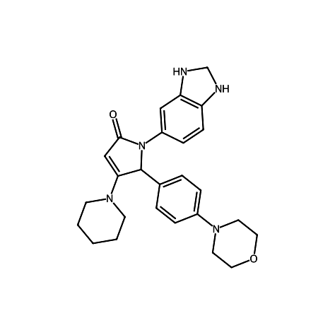 O=C1C=C(N2CCCCC2)C(c2ccc(N3CCOCC3)cc2)N1c1ccc2c(c1)NCN2